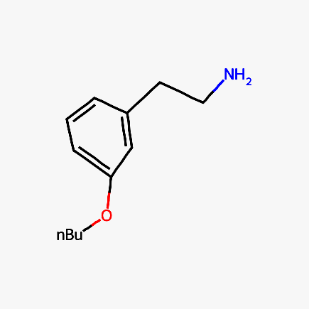 CCCCOc1cccc(CCN)c1